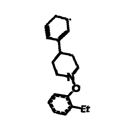 CCc1ccccc1ON1CCC(C2=C[CH]CC=C2)CC1